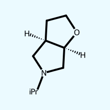 CC(C)N1C[C@H]2CCO[C@H]2C1